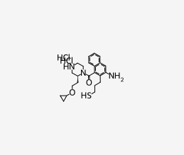 Cl.Cl.Nc1cc2ccccc2c(C(=O)N2CCNC[C@@H]2CCOC2CC2)c1CCCS